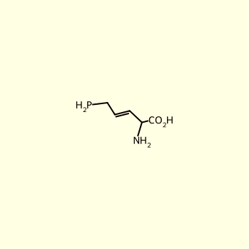 NC(C=CCP)C(=O)O